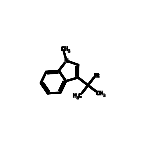 CCC(C)(C)c1cn(C)c2ccccc12